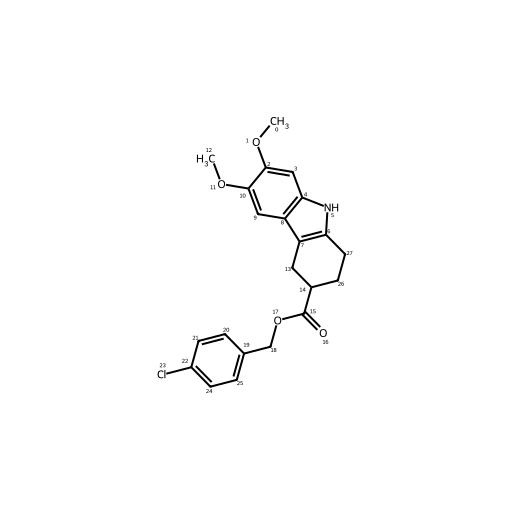 COc1cc2[nH]c3c(c2cc1OC)CC(C(=O)OCc1ccc(Cl)cc1)CC3